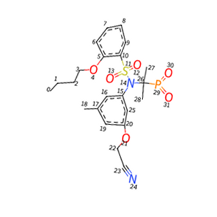 CCCCOc1ccccc1S(=O)(=O)N(c1cc(C)cc(OCC#N)c1)C(C)(C)P(=O)=O